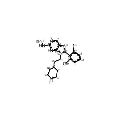 CCCNc1ncc2nc(-c3c(Cl)cccc3I)n(CCC3CCNCC3)c2n1